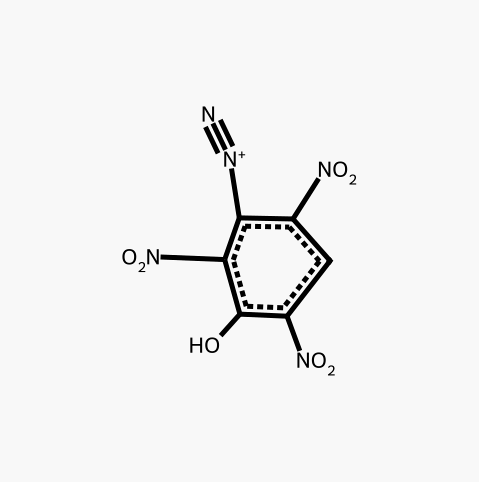 N#[N+]c1c([N+](=O)[O-])cc([N+](=O)[O-])c(O)c1[N+](=O)[O-]